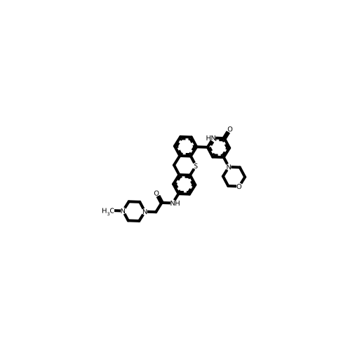 CN1CCN(CC(=O)Nc2ccc3c(c2)Cc2cccc(-c4cc(N5CCOCC5)cc(=O)[nH]4)c2S3)CC1